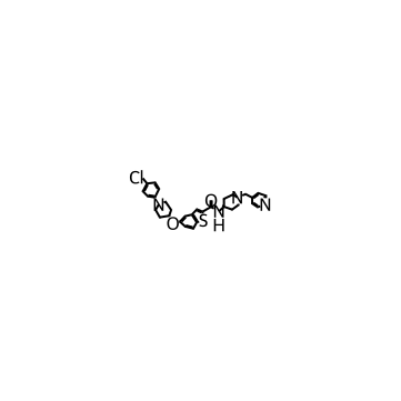 O=C(NC1CCN(Cc2ccncc2)CC1)c1cc2cc(OC3CCN(c4ccc(Cl)cc4)CC3)ccc2s1